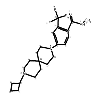 CNC(=O)c1ccc(N2CCC3(CC2)CCN(C2CCC2)CC3)cc1C(F)(F)F